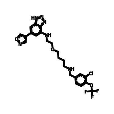 FC(F)(F)Oc1ccc(CNCCCCOCCNc2cc(-c3cnoc3)cc3[nH]nnc23)cc1Cl